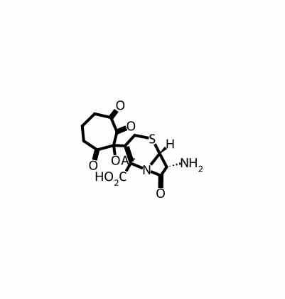 CC(=O)OC1(C2=C(C(=O)O)N3C(=O)[C@@H](N)[C@H]3SC2)C(=O)CCCC(=O)C1=O